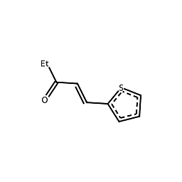 CCC(=O)/C=C/c1cccs1